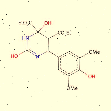 CCOC(=O)C1C(c2cc(OC)c(O)c(OC)c2)N=C(O)NC1(O)C(=O)OCC